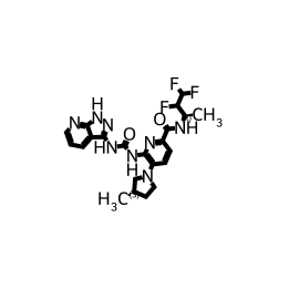 C[C@H]1CCN(c2ccc(C(=O)N[C@H](C)C(F)C(F)F)nc2NC(=O)Nc2n[nH]c3ncccc23)C1